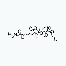 COC(=O)C(CCCCNC(=O)CN)NC(=O)OC1CCC2(CO2)C(C2OC2CCC(C)C)C1OC